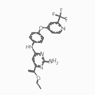 C=C(OCC)c1cc(Nc2ccc(Oc3ccnc(C(F)(F)F)c3)cc2)nc(N)n1